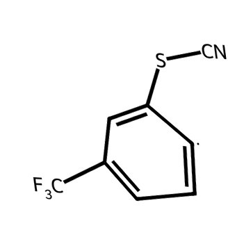 N#CSc1[c]ccc(C(F)(F)F)c1